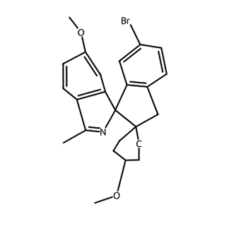 COc1ccc2c(c1)C1(N=C2C)c2cc(Br)ccc2CC12CCC(OC)CC2